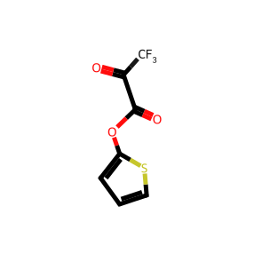 O=C(Oc1cccs1)C(=O)C(F)(F)F